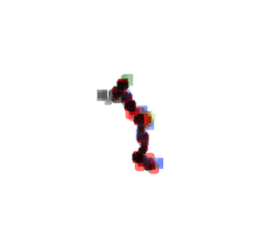 CC1(C)CCC(c2ccc(Cl)cc2)=C(CN2CCN(c3ccc(C(=O)NS(=O)(=O)c4ccc(NCCCN5CCN(CCCC#Cc6cccc7c6CN(C6CCC(=O)NC6=O)C7=O)CC5)c(S(=O)(=O)C(F)(F)F)c4)cc3)CC2)C1